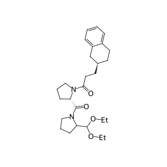 CCOC(OCC)C1CCCN1C(=O)[C@@H]1CCCN1C(=O)CC[C@@H]1CCc2ccccc2C1